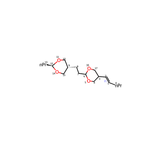 CCC/C=C/C1COC(CC[C@H]2CO[C@H](CCC)OC2)OC1